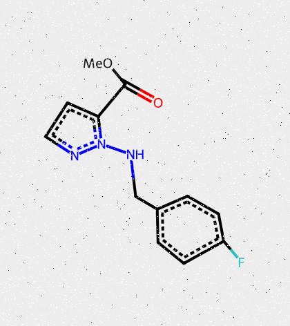 COC(=O)c1ccnn1NCc1ccc(F)cc1